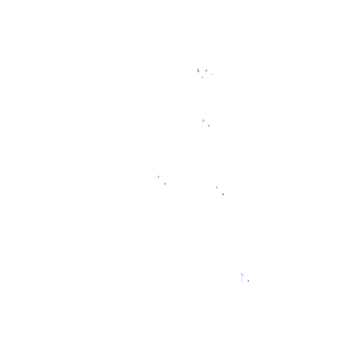 C=CCc1c(OC)nc2nc(-c3nc(C)cs3)cn2c1C